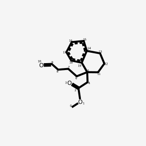 COC(=O)CC1(CCCC=O)CCCc2ccccc21